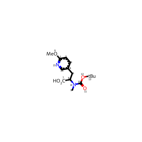 COc1ccc(CC(C(=O)O)N(C)C(=O)OC(C)(C)C)cn1